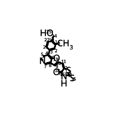 Cc1cc(-c2cncc3cc(C=C4SC(=S)NC4=O)oc23)ccc1CO